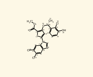 COC(=O)c1sc(-n2cnc3cc(Cl)c(Cl)cc32)cc1O[C@H](C)c1cccc(O)c1Cl